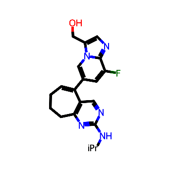 CC(C)Nc1ncc2c(n1)CCCC=C2c1cc(F)c2ncc(CO)n2c1